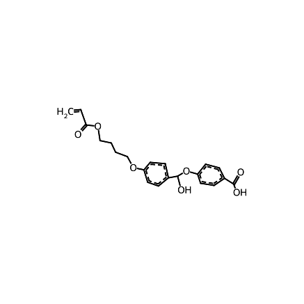 C=CC(=O)OCCCCOc1ccc(C(O)Oc2ccc(C(=O)O)cc2)cc1